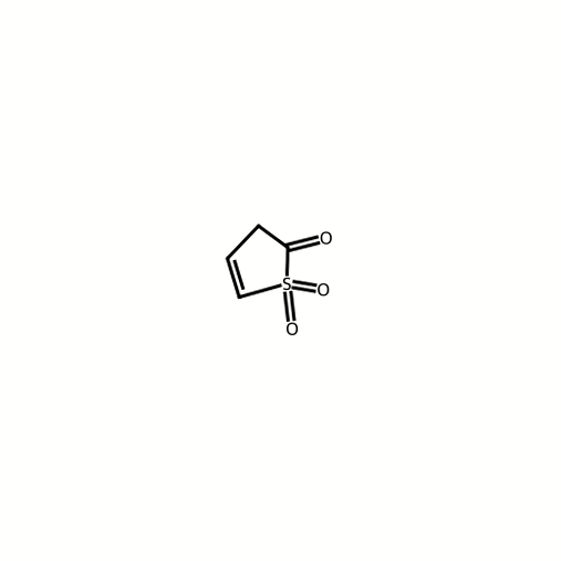 O=C1CC=CS1(=O)=O